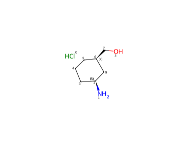 Cl.N[C@H]1CCC[C@@H](CO)C1